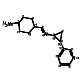 NC1CCC(C=N[C@H]2C[C@@H]2c2cccnc2)CC1